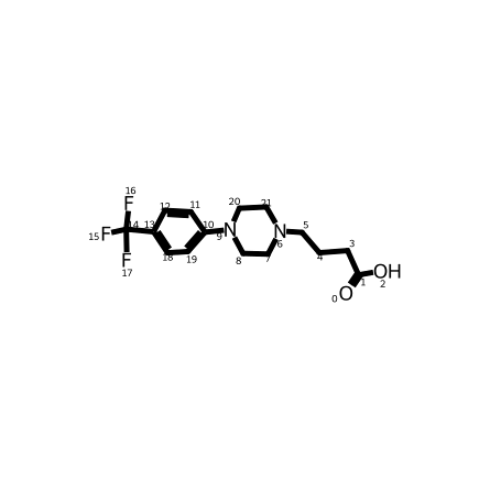 O=C(O)CCCN1CCN(c2ccc(C(F)(F)F)cc2)CC1